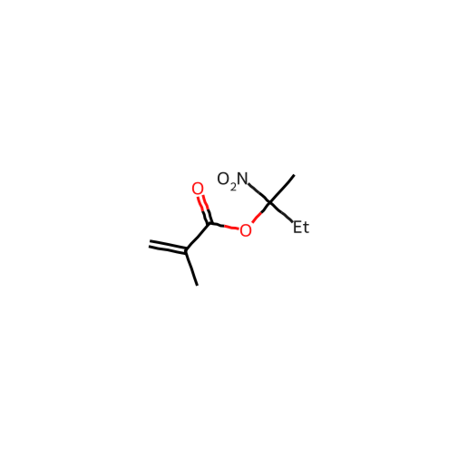 C=C(C)C(=O)OC(C)(CC)[N+](=O)[O-]